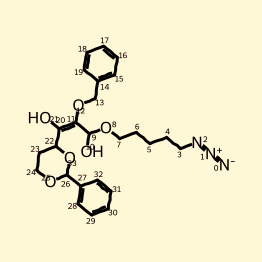 [N-]=[N+]=NCCCCCOC(O)/C(OCc1ccccc1)=C(/O)C1CCOC(c2ccccc2)O1